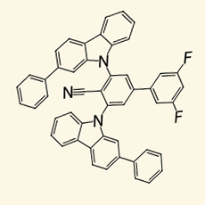 N#Cc1c(-n2c3ccccc3c3ccc(-c4ccccc4)cc32)cc(-c2cc(F)cc(F)c2)cc1-n1c2ccccc2c2ccc(-c3ccccc3)cc21